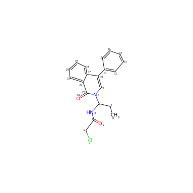 CCC(NC(=O)CCl)n1cc(-c2ccccc2)c2ccccc2c1=O